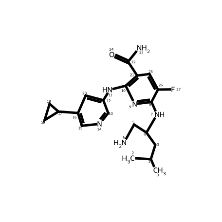 CC(C)CC(CN)Nc1nc(Nc2cncc(C3CC3)c2)c(C(N)=O)cc1F